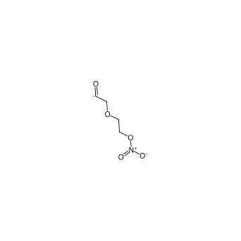 O=[C]COCCO[N+](=O)[O-]